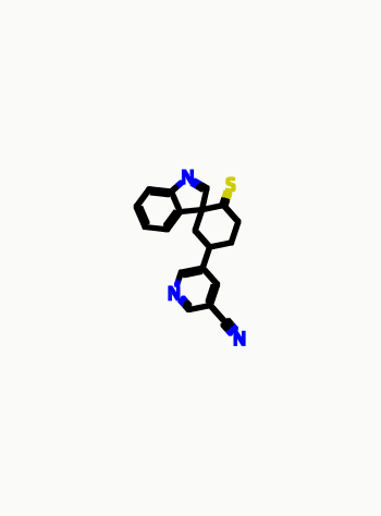 N#Cc1cncc(C2CCC(=S)C3(C=Nc4ccccc43)C2)c1